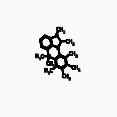 Cc1c(C)c(C)c2c(c1C)N1c3c(cccc3[Si]2(C)C)N(C)C1C